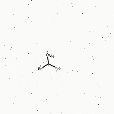 [CH2]CC(CCC)OC